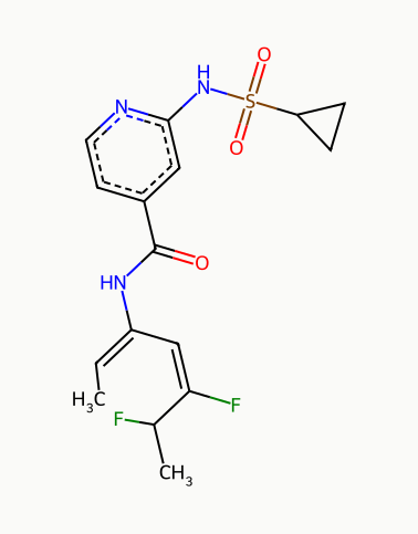 C/C=C(\C=C(\F)C(C)F)NC(=O)c1ccnc(NS(=O)(=O)C2CC2)c1